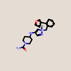 CC[N+]1(Cc2ccccc2-c2ccoc2)C=C(NC2CCN(C(N)=O)CC2)C=N1